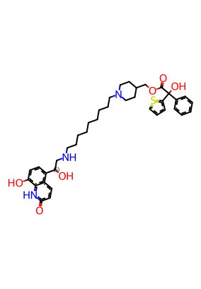 O=C(OCC1CCN(CCCCCCCCCNC[C@@H](O)c2ccc(O)c3[nH]c(=O)ccc23)CC1)C(O)(c1ccccc1)c1cccs1